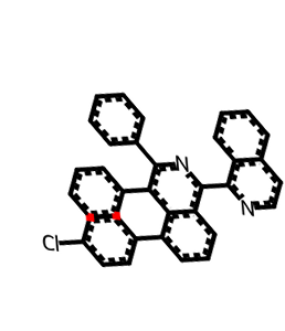 Clc1ccc(-c2cccc3c(-c4nccc5ccccc45)nc(-c4ccccc4)c(-c4ccccc4)c23)cc1